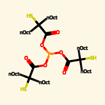 CCCCCCCCC(S)(CCCCCCCC)C(=O)OP(OC(=O)C(S)(CCCCCCCC)CCCCCCCC)OC(=O)C(S)(CCCCCCCC)CCCCCCCC